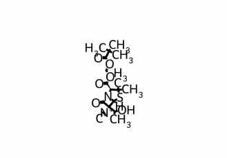 [C-]#[N+][C@]1(C(C)O)C(=O)N2[C@@H](C(=O)OCOC(=O)C(C)(C)C)C(C)(C)S[C@@H]21